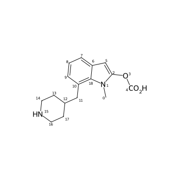 Cn1c(OC(=O)O)cc2cccc(CC3CCNCC3)c21